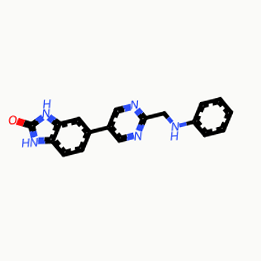 O=c1[nH]c2ccc(-c3cnc(CNc4ccccc4)nc3)cc2[nH]1